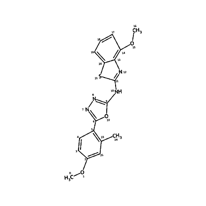 COc1ccc(-c2nnc(Nc3nc4c(OC)cccc4s3)o2)c(C)c1